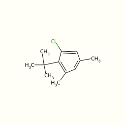 Cc1cc(C)c(C(C)(C)C)c(Cl)c1